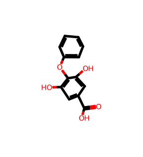 O=C(O)c1cc(O)c(Oc2ccccc2)c(O)c1